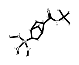 CO[Si](OC)(OC)C1CC2CC1CC2C(=O)OC(C)(C)C